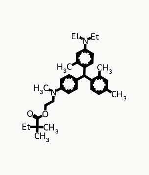 CCN(CC)c1ccc(C(c2ccc(N(C)CCOC(=O)C(C)(C)CC)cc2)c2ccc(C)cc2C)c(C)c1